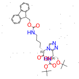 CC(C)(C)OC[C@H](NC(=O)OC(C)(C)C)c1nncn1[C@@H](CCCCNC(=O)OCC1c2ccccc2-c2ccccc21)C(=O)O